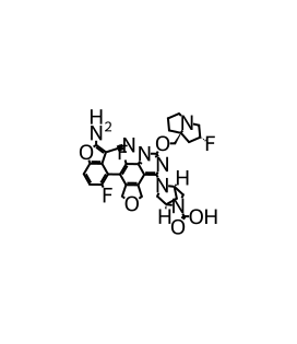 N#Cc1c(N)oc2ccc(F)c(-c3c4c(c5c(N6C[C@H]7C[C@@H]6CN7C(=O)O)nc(OC[C@@]67CCCN6C[C@H](F)C7)nc5c3F)COC4)c12